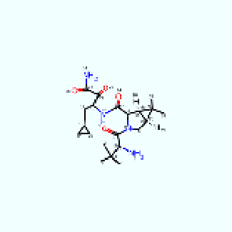 CC(C)(C)[C@H](N)C(=O)N1C[C@H]2[C@@H](C1C(=O)NC(CC1CC1)C(=O)C(N)=O)C2(C)C